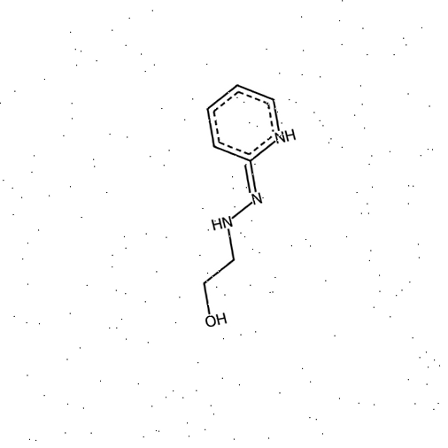 OCCNN=c1cccc[nH]1